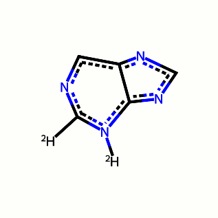 [2H]c1ncc2ncnc-2n1[2H]